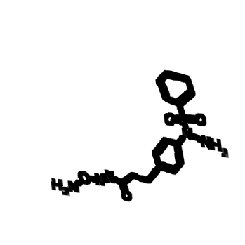 NON=NC(=O)CCc1ccc(N(N)S(=O)(=O)c2ccccc2)cc1